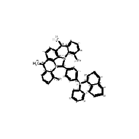 CC(C)c1cccc2c1N1c3c(ccc4c3N(c3c(C(C)C)cccc3C4C)C1c1ccc(N(c3ccccc3)c3cccc4ccccc34)cc1)C2C